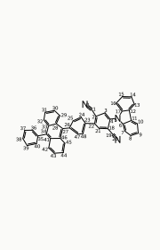 N#Cc1cc(-n2c3ccccc3c3ccccc32)c(C#N)cc1-c1ccc(-c2c3ccccc3c(-c3ccccc3)c3ccccc23)cc1